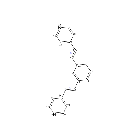 C(=C\c1cccc(/C=C/c2ccncc2)c1)/c1ccncc1